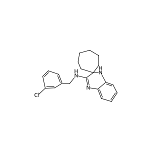 Clc1cccc(CNC2=Nc3ccccc3NC23CCCCCC3)c1